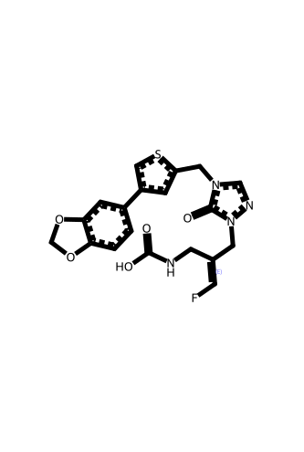 O=C(O)NC/C(=C\F)Cn1ncn(Cc2cc(-c3ccc4c(c3)OCO4)cs2)c1=O